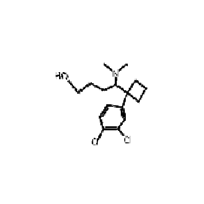 CN(C)C(CCCO)C1(c2ccc(Cl)c(Cl)c2)CCC1